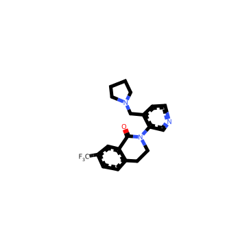 O=C1c2cc(C(F)(F)F)ccc2CCN1c1cnccc1CN1CCCC1